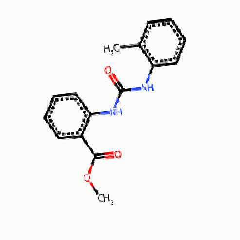 COC(=O)c1ccccc1NC(=O)Nc1ccccc1C